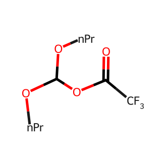 CCCOC(OCCC)OC(=O)C(F)(F)F